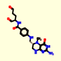 CN1c2c(nc(N)[nH]c2=O)NC[C@@H]1CNc1ccc(C(=O)NC(C=O)CCC=O)cc1